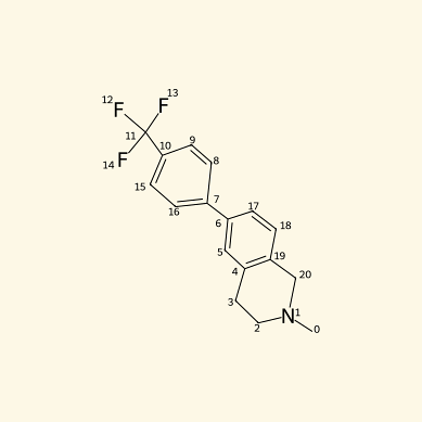 CN1CCc2cc(-c3ccc(C(F)(F)F)cc3)ccc2C1